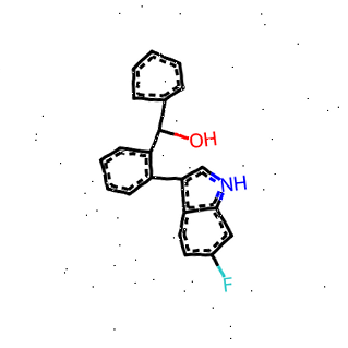 OC(c1ccccc1)c1ccccc1-c1c[nH]c2cc(F)ccc12